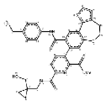 COC(=O)c1nc(C(=O)NCC2(CO)CC2)ccc1-c1cc2c(cc1C(=O)Nc1ccc(CN)cc1)-c1sccc1CCO2